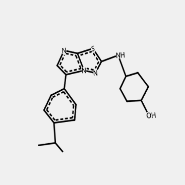 CC(C)c1ccc(-c2cnc3sc(NC4CCC(O)CC4)nn23)cc1